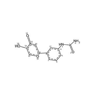 NC(=O)Nc1cccc(-c2cc(=O)c(O)co2)c1